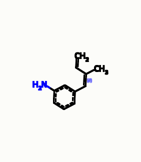 C=C/C(C)=C\c1cccc(N)c1